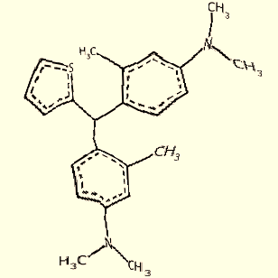 Cc1cc(N(C)C)ccc1C(c1cccs1)c1ccc(N(C)C)cc1C